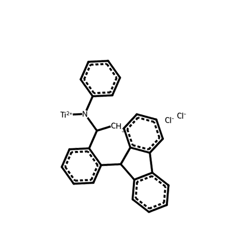 CC(c1ccccc1C1c2ccccc2-c2ccccc21)[N]([Ti+2])c1ccccc1.[Cl-].[Cl-]